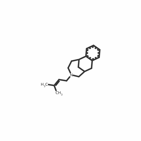 CC(C)=CCN1CCC2CC(Cc3ccccc32)C1